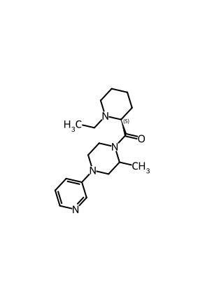 CCN1CCCC[C@H]1C(=O)N1CCN(c2cccnc2)CC1C